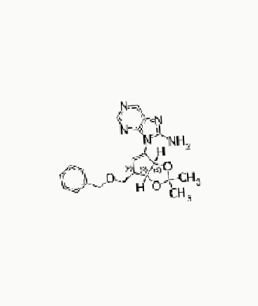 CC1(C)O[C@@H]2[C@@H](COCc3ccccc3)C=C(n3c(N)nc4cncnc43)[C@@H]2O1